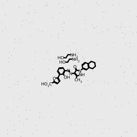 Cc1[nH]n(-c2ccc3c(c2)CCCC3)c(=O)c1N=Nc1cccc(-c2ccc(C(=O)O)o2)c1O.NCCO.NCCO